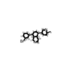 Cc1ccc(-c2ccc(-c3cccc(Br)c3)c3cnccc23)cn1